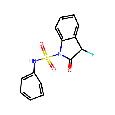 O=C1C(F)c2ccccc2N1S(=O)(=O)Nc1ccccc1